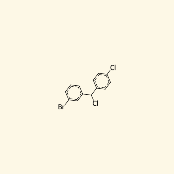 Clc1ccc(C(Cl)c2cccc(Br)c2)cc1